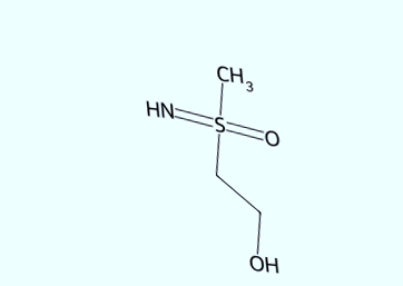 CS(=N)(=O)CCO